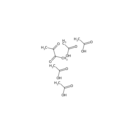 CC(=O)C(C)=O.CC(=O)O.CC(=O)O.CC(=O)O.CC(=O)O